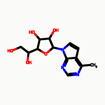 Cc1ncnc2c1ccn2C1OC(C(O)CO)C(O)C1O